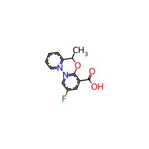 CC(Oc1ncc(F)cc1C(=O)O)c1ccccn1